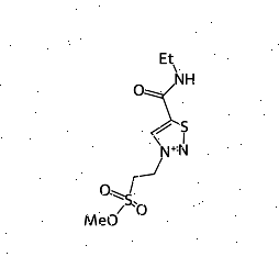 CCNC(=O)c1c[n+](CCS(=O)(=O)OC)ns1